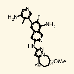 CO[C@@H]1CC[C@@H](C)c2cc(Nc3cc4cc(-c5cncc(N)c5C)c(F)c(N)c4cn3)nn2C1